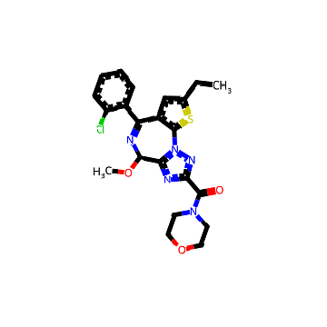 CCc1cc2c(s1)-n1nc(C(=O)N3CCOCC3)nc1C(OC)N=C2c1ccccc1Cl